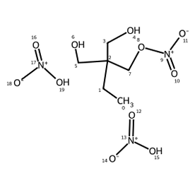 CCC(CO)(CO)CO[N+](=O)[O-].O=[N+]([O-])O.O=[N+]([O-])O